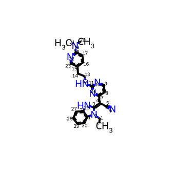 CCN1/C(=C(\C#N)c2ccnc(NCCc3ccc(N(C)C)nc3)n2)Nc2ccccc21